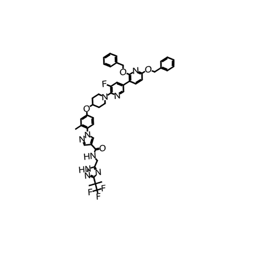 Cc1cc(OC2CCN(c3ncc(-c4ccc(OCc5ccccc5)nc4OCc4ccccc4)cc3F)CC2)ccc1-n1cc(C(=O)NCc2nc(C(C)(C)C(F)(F)F)n[nH]2)cn1